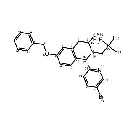 C[C@@H]1Cc2cc(OCc3ccccc3)ccc2[C@@H](c2ccc(Br)cn2)N1CC(F)(F)F